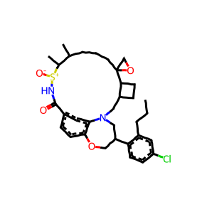 CCCc1cc(Cl)ccc1C1COc2ccc3cc2N(C1)CC1CCC1C1(CCCC(C)C(C)[S+]([O-])NC3=O)CO1